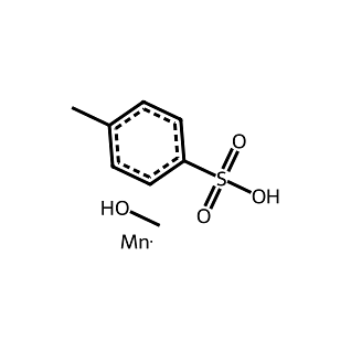 CO.Cc1ccc(S(=O)(=O)O)cc1.[Mn]